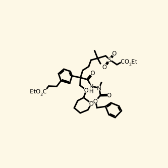 CCOC(=O)CCc1cccc(C(CCCC(C)(C)CS(=O)(=O)CC(=O)OCC)(COC2CCCCO2)C(=O)NN(C)C(=O)OCc2ccccc2)c1